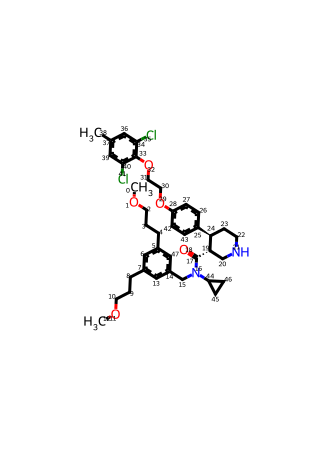 COCCCc1cc(CCCOC)cc(CN(C(=O)[C@H]2CNCC[C@@H]2c2ccc(OCCOc3c(Cl)cc(C)cc3Cl)cc2)C2CC2)c1